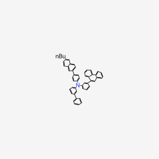 CCCCc1ccc2cc(-c3ccc(N(c4cccc(-c5ccccc5)c4)c4cccc(-c5cc6ccccc6c6ccccc56)c4)cc3)ccc2c1